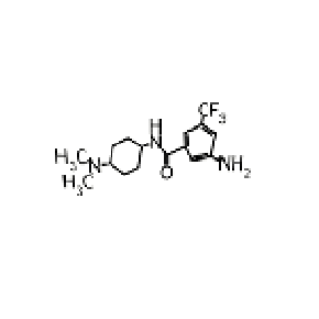 CN(C)[C@H]1CC[C@@H](NC(=O)c2cc(N)cc(C(F)(F)F)c2)CC1